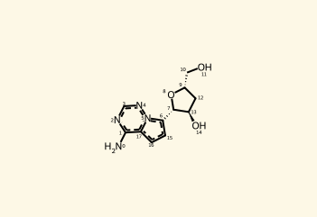 Nc1ncnn2c([C@@H]3O[C@H](CO)C[C@H]3O)ccc12